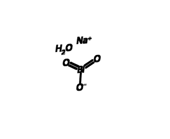 O.[Na+].[O]=[Bi](=[O])[O-]